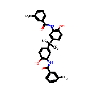 O=C(Nc1cc(C(c2ccc(O)c(NC(=O)c3cccc([N+](=O)[O-])c3)c2)(C(F)(F)F)C(F)(F)F)ccc1O)c1cccc([N+](=O)[O-])c1